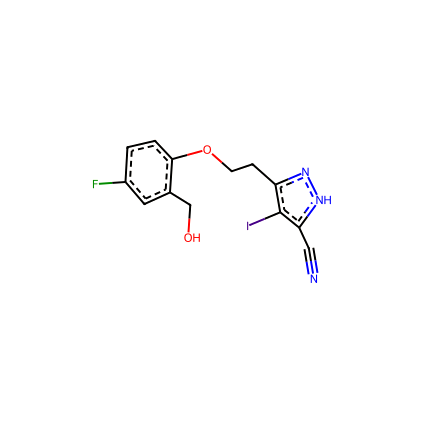 N#Cc1[nH]nc(CCOc2ccc(F)cc2CO)c1I